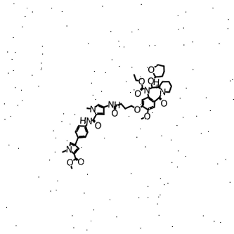 CCOC(=O)N1c2cc(OCCCC(=O)Nc3cc(C(=O)Nc4ccc(-c5cc(C(=O)OC)n(C)c5)cc4)n(C)c3)c(OC)cc2C(=O)N2CCCC[C@H]2C1OC1CCCCO1